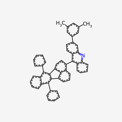 Cc1cc(C)cc(-c2ccc3c(-c4ccc5c6c(cccc46)-c4c-5c(-c5ccccc5)c5ccccc5c4-c4ccccc4)c4ccccc4nc3c2)c1